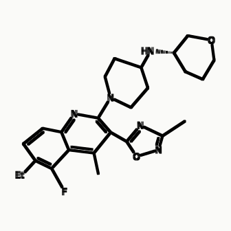 CCc1ccc2nc(N3CCC(N[C@H]4CCCOC4)CC3)c(-c3nc(C)no3)c(C)c2c1F